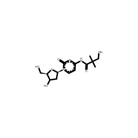 CC(C)(C)CC(C)(C)C(=O)Nc1ccn([C@H]2CC(O)[C@@H](CO)S2)c(=O)n1